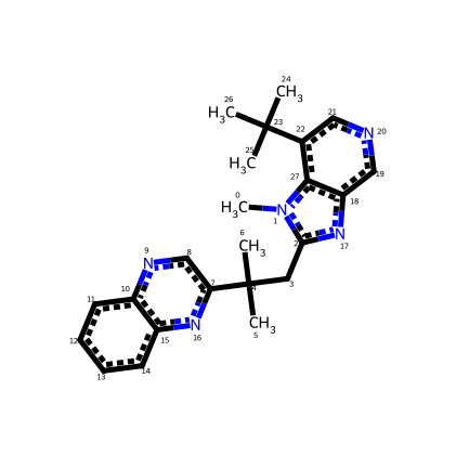 Cn1c(CC(C)(C)c2cnc3ccccc3n2)nc2cncc(C(C)(C)C)c21